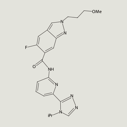 COCCCn1cc2cc(F)c(C(=O)Nc3cccc(-c4nncn4C(C)C)n3)cc2n1